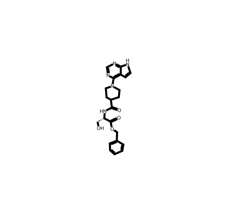 O=C(N[C@@H](CO)C(=O)OCc1ccccc1)C1CCN(c2ncnc3[nH]ccc23)CC1